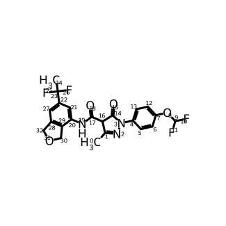 CC1=NN(c2ccc(OC(F)F)cc2)C(=O)C1C(=O)Nc1cc(C(C)(F)F)cc2c1COC2